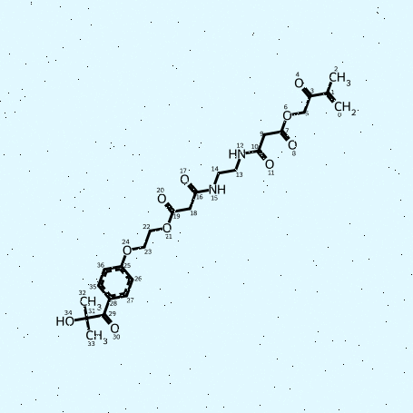 C=C(C)C(=O)COC(=O)CC(=O)NCCNC(=O)CC(=O)OCCOc1ccc(C(=O)C(C)(C)O)cc1